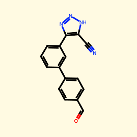 N#Cc1[nH]nnc1-c1cccc(-c2ccc(C=O)cc2)c1